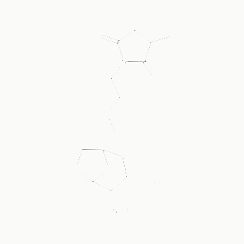 CC(=O)N[C@@H]1[C@H]2OC[C@](COCCN3C(=O)CC(C)C3=O)(O2)[C@H](O)[C@@H]1O